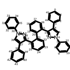 c1ccc(-c2cn(-c3ccccc3)nc2-c2ccccc2-c2ccccc2-c2nn(-c3ccccc3)cc2-c2ccccc2)cc1